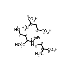 CCCNC(CCO)C(=O)O.NC(CCC(=O)O)C(=O)O.NC(CO)C(=O)O